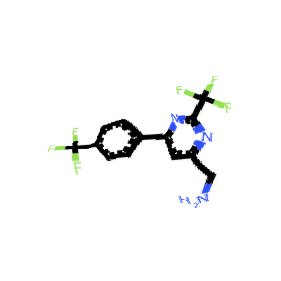 NCc1cc(-c2ccc(C(F)(F)F)cc2)nc(C(F)(F)F)n1